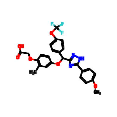 COc1ccc(-c2nc(C(Oc3ccc(OCC(=O)O)c(C)c3)c3ccc(OC(F)(F)F)cc3)n[nH]2)cc1